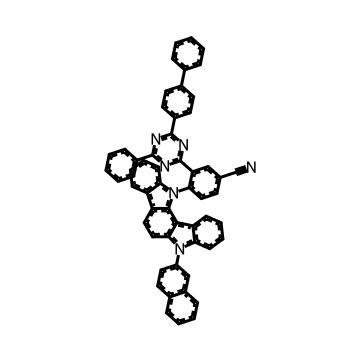 N#Cc1ccc(-n2c3ccccc3c3ccc4c(c5ccccc5n4-c4ccc5ccccc5c4)c32)c(-c2nc(-c3ccccc3)nc(-c3ccc(-c4ccccc4)cc3)n2)c1